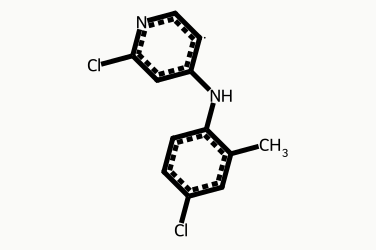 Cc1cc(Cl)ccc1Nc1[c]cnc(Cl)c1